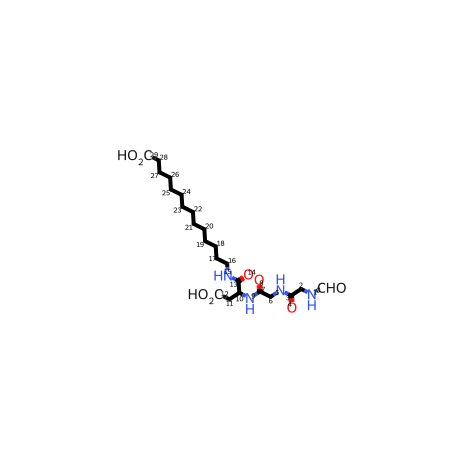 O=CNCC(=O)NCC(=O)NC(CC(=O)O)C(=O)NCCCCCCCCCCCCCC(=O)O